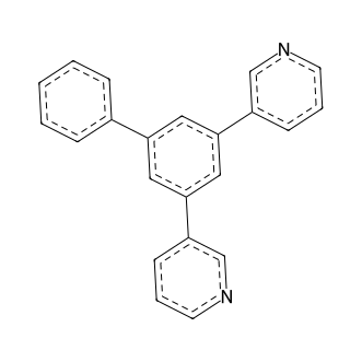 c1ccc(-c2cc(-c3cccnc3)cc(-c3cccnc3)c2)cc1